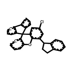 Clc1cc(C2CCc3ccccc32)c2c(c1)C1(c3ccccc3O2)c2ccccc2-c2ccccc21